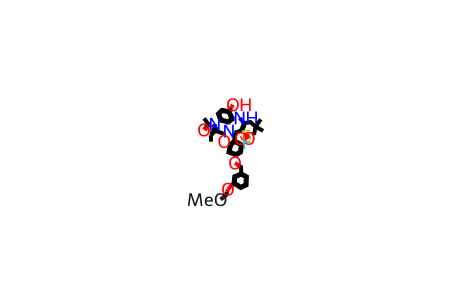 COCOc1cccc(COc2ccc(C3C4=C(CC(C)(C)CS4(=O)=O)Nc4c(O)cccc4N3C(=O)c3nc(C)oc3C)c(F)c2)c1